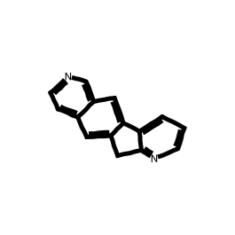 c1cnc2c(c1)-c1cc3cnccc3cc1C2